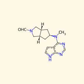 CN(c1ncnc2[nH]ccc12)[C@H]1C[C@@H]2CN(C=O)C[C@@H]2C1